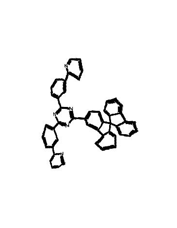 c1ccc(-c2cccc(-c3nc(-c4cccc(-c5ccccn5)c4)nc(-c4ccc5c(c4)-c4ccccc4C54c5ccccc5-c5ccccc54)n3)c2)nc1